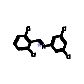 Clc1cc(Cl)cc(/N=C/c2c(Cl)cccc2Cl)c1